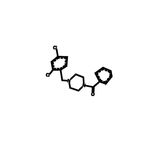 O=C(c1[c]cccc1)N1CCN(Cc2ccc(Cl)cc2Cl)CC1